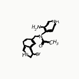 CC(=O)N(Cc1ccc2c(c1)=C(Br)CNC=2)C1=CCNC=C1N